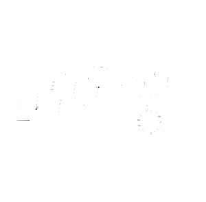 CCC(O)CC(CCC1CCC2C3CC=C4C[C@](O)(CC)CC[C@@H]4C3CCC12C)S(=O)(=O)c1ccccc1